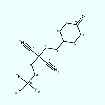 N#CC(C#N)(CCC1CCC(=O)CC1)CCC(F)(F)F